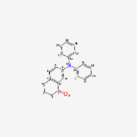 O=C1CCCc2ccc(N(c3ccccc3)c3ccccc3)cc21